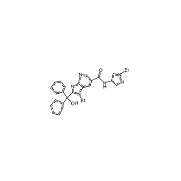 CCn1cc(NC(=O)c2cnc3nc(C(O)(c4ccccc4)c4ccccc4)n(CC)c3c2)cn1